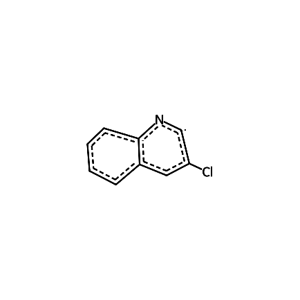 Clc1[c]nc2ccccc2c1